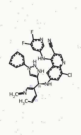 C=N/C=C(\C=C/C)[C@H](Nc1cc(Cl)c2ncc(C#N)c(Nc3cnc(F)c(F)c3)c2c1)C1=CN(c2ccccc2)NN1